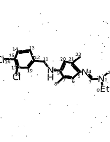 CCN(C)C=Nc1cc(C)c(NCc2ccc(Cl)c(Cl)c2)cc1C